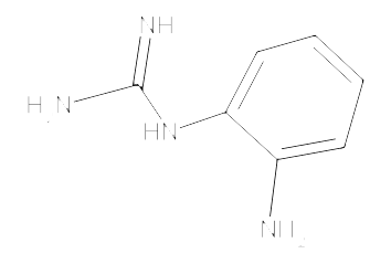 N=C(N)Nc1ccccc1N